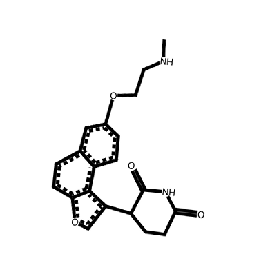 CNCCOc1ccc2c(ccc3occ(C4CCC(=O)NC4=O)c32)c1